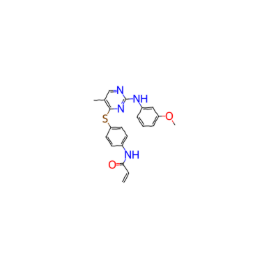 C=CC(=O)Nc1ccc(Sc2nc(Nc3cccc(OC)c3)ncc2C)cc1